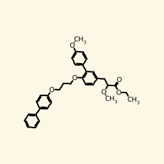 CCOC(=O)C(Cc1ccc(OCCCOc2ccc(-c3ccccc3)cc2)c(-c2ccc(OC)cc2)c1)OC